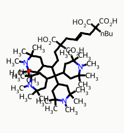 CCCCC(CC=CCC(CCC(C1CC(C)(C)N(C)C(C)(C)C1)C(C1CC(C)(C)N(C)C(C)(C)C1)(C1CC(C)(C)N(C)C(C)(C)C1)C1CC(C)(C)N(C)C(C)(C)C1)(C(=O)O)C(=O)O)(C(=O)O)C(=O)O